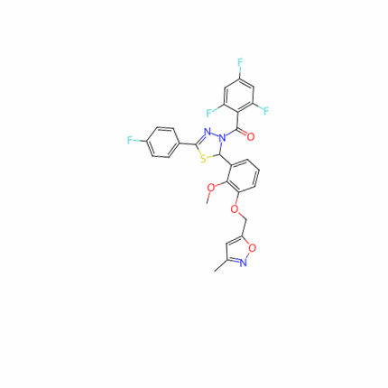 COc1c(OCc2cc(C)no2)cccc1C1SC(c2ccc(F)cc2)=NN1C(=O)c1c(F)cc(F)cc1F